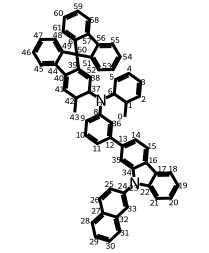 CC1C=CC=CC1N(c1cccc(-c2ccc3c4ccccc4n(-c4ccc5ccccc5c4)c3c2)c1)C1C=C2C(=CC1C)c1ccccc1C21c2ccccc2-c2ccccc21